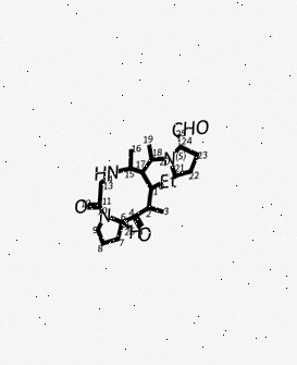 CCC1C(C)C(=O)[C@@H]2CCCN2C(=O)CNC(C)C1C(C)N1CCC[C@H]1C=O